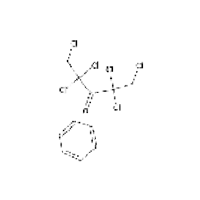 O=C(C(Cl)(Cl)CCl)C(Cl)(Cl)CCl.c1ccccc1